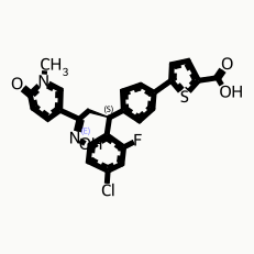 Cn1cc(/C(C[C@@H](c2ccc(-c3ccc(C(=O)O)s3)cc2)c2ccc(Cl)cc2F)=N/O)ccc1=O